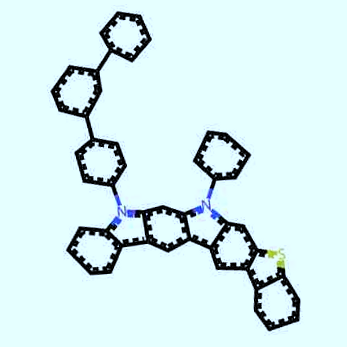 c1ccc(-c2cccc(-c3ccc(-n4c5ccccc5c5cc6c7cc8c(cc7n(-c7ccccc7)c6cc54)sc4ccccc48)cc3)c2)cc1